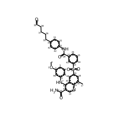 COc1cccc(Nc2c(C(N)=O)cnc3c(C)cc(S(=O)(=O)c4cccc(C(=O)Nc5ccc(CCCCC=O)cc5)c4)cc23)c1